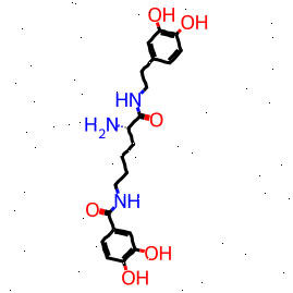 N[C@@H](CCCCNC(=O)c1ccc(O)c(O)c1)C(=O)NCCc1ccc(O)c(O)c1